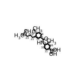 COc1ccc(C(=O)Nc2ccc(B(O)O)cc2C)cc1CCCN(C)C